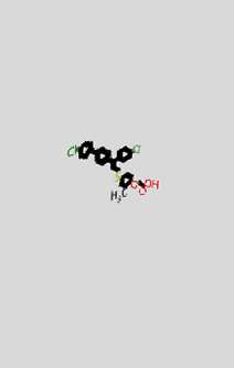 Cc1cc(SCC=C(c2ccc(Cl)cc2)c2ccc(-c3ccc(Cl)cc3)cc2)ccc1OCC(=O)O